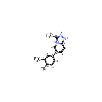 FC(F)(F)c1cc(-c2ccc3nnc(C(F)(F)F)n3c2)ccc1Cl